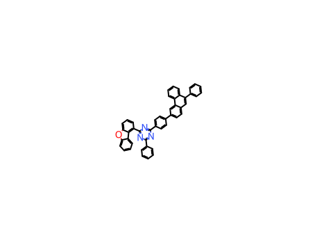 c1ccc(-c2nc(-c3ccc(-c4ccc5cc(-c6ccccc6)c6ccccc6c5c4)cc3)nc(-c3cccc4oc5ccccc5c34)n2)cc1